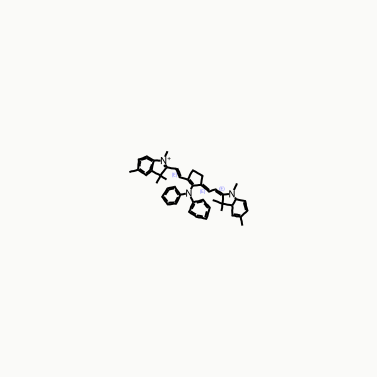 CC1=CC2C(C=C1)N(C)/C(=C/C=C1\CCC(/C=C/C3=[N+](C)c4ccc(C)cc4C3(C)C)=C1N(c1ccccc1)c1ccccc1)C2(C)C